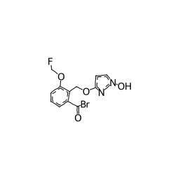 O=C(Br)c1cccc(OCF)c1COc1ccn(O)n1